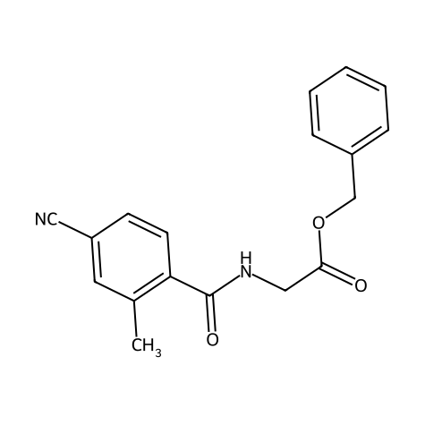 Cc1cc(C#N)ccc1C(=O)NCC(=O)OCc1ccccc1